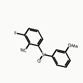 COc1cccc([S+]([O-])c2cccc(F)c2C#N)c1